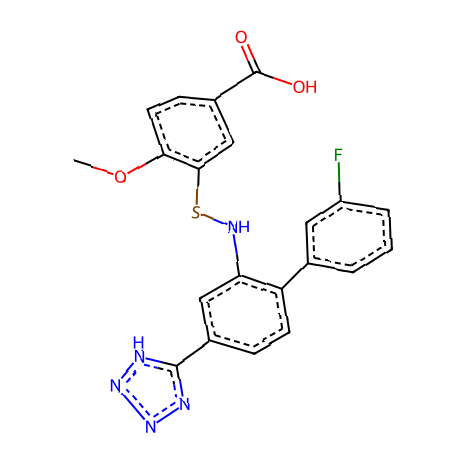 COc1ccc(C(=O)O)cc1SNc1cc(-c2nnn[nH]2)ccc1-c1cccc(F)c1